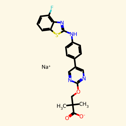 CC(C)(COc1ncc(-c2ccc(Nc3nc4c(F)cccc4s3)cc2)cn1)C(=O)[O-].[Na+]